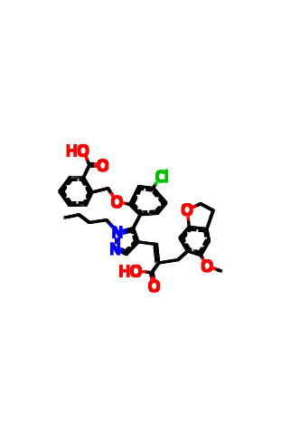 CCCCn1ncc(C=C(Cc2cc3c(cc2OC)CCO3)C(=O)O)c1-c1ccc(Cl)cc1OCc1ccccc1C(=O)O